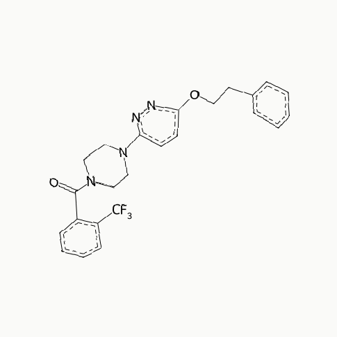 O=C(c1ccccc1C(F)(F)F)N1CCN(c2ccc(OCCc3ccccc3)nn2)CC1